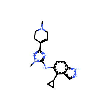 CN1CC=C(c2nc(Nc3ccc4[nH]ncc4c3C3CC3)n(C)n2)CC1